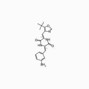 Bc1cccc(/C=c2\[nH]c(=O)/c(=C/c3ncoc3C(C)(C)C)[nH]c2=O)c1